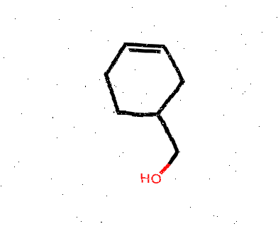 OCC1[CH]CC=CC1